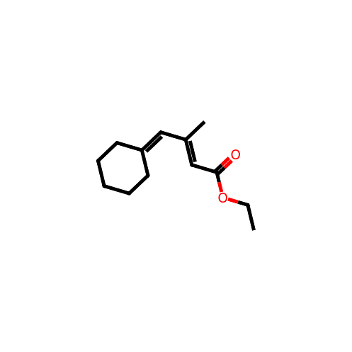 CCOC(=O)C=C(C)C=C1CCCCC1